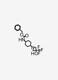 O=C(NC1CCC(N2CC(O)(C(F)(F)F)C2)CC1)OCc1ccccc1